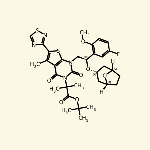 COc1ccc(F)cc1[C@H](Cn1c(=O)n(C(C)(C)C(=O)OC(C)(C)C)c(=O)c2c(C)c(-c3ncsn3)sc21)O[C@H]1C[C@H]2CC[C@@H](C1)O2